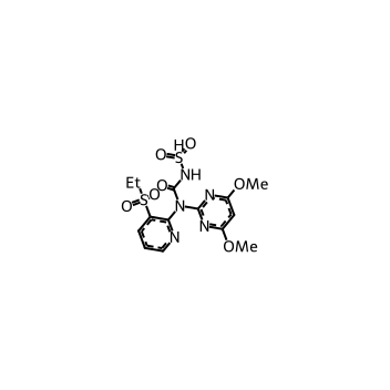 CCS(=O)(=O)c1cccnc1N(C(=O)N[SH](=O)=O)c1nc(OC)cc(OC)n1